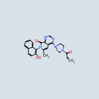 C=CC(=O)N1CCN(c2ncnc3c(=O)n(-c4c(O)ccc5ccccc45)c(C)cc23)CC1